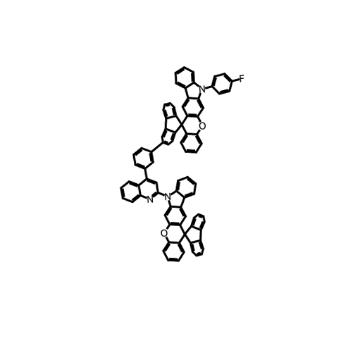 Fc1ccc(-n2c3ccccc3c3cc4c(cc32)Oc2ccccc2C42c3ccccc3-c3cc(-c4cccc(-c5cc(-n6c7ccccc7c7cc8c(cc76)Oc6ccccc6C86c7ccccc7-c7ccccc76)nc6ccccc56)c4)ccc32)cc1